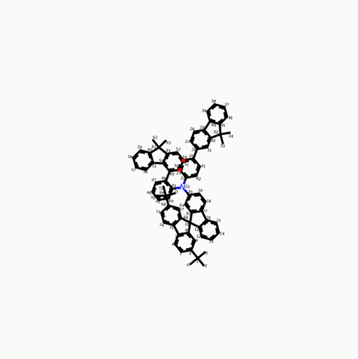 CC(C)(C)c1ccc2c(c1)C1(c3ccccc3-c3ccc(N(c4ccc(-c5ccc6c(c5)C(C)(C)c5ccccc5-6)cc4)c4ccccc4-c4cccc5c4-c4ccccc4C5(C)C)cc31)c1cc(C(C)(C)C)ccc1-2